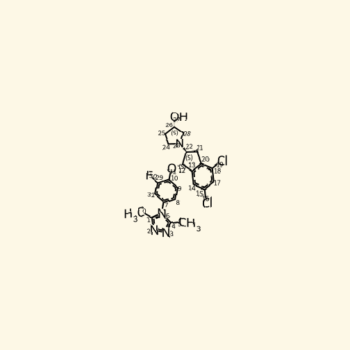 Cc1nnc(C)n1-c1ccc(O[C@H]2c3cc(Cl)cc(Cl)c3C[C@@H]2N2CC[C@H](O)C2)c(F)c1